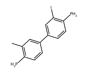 Cc1cc(-c2ccc(P)c(I)c2)ccc1P